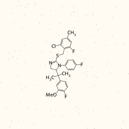 COc1cc(C(C)(C)C2CN=C(SCc3c(F)cc(C)cc3Cl)N2c2ccc(F)cc2)ccc1F